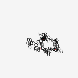 COS(=O)CC1NC(=O)C(CS(=O)(=O)O)NS(=O)(=O)c2c(N)ccc3c(-c4c(Cl)c(CC(=O)ON5C(=O)CCC5=O)cc(Cl)c4C(=O)O)c4ccc(=N)c(c-4oc23)S(=O)(=O)NCCNC(=O)C(CS(=O)(=O)O)NC1=O